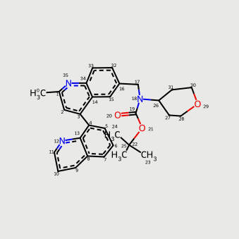 Cc1cc(-c2cccc3cccnc23)c2cc(CN(C(=O)OC(C)(C)C)C3CCOCC3)ccc2n1